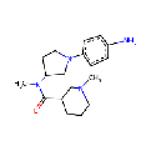 CN1CCCC(C(=O)N(C)[C@@H]2CCN(c3ccc(N)cc3)C2)C1